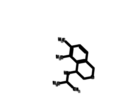 Cc1ccc2c(c1C)C(NC(C)C)COC2